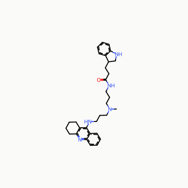 CN(CCCNC(=O)CCC1CNc2ccccc21)CCCNc1c2c(nc3ccccc13)CCCC2